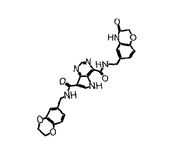 O=C1COc2ccc(CNC(=O)c3ncnc4c(C(=O)NCc5ccc6c(c5)OCCO6)c[nH]c34)cc2N1